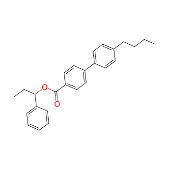 CCCCc1ccc(-c2ccc(C(=O)OC(CC)c3ccccc3)cc2)cc1